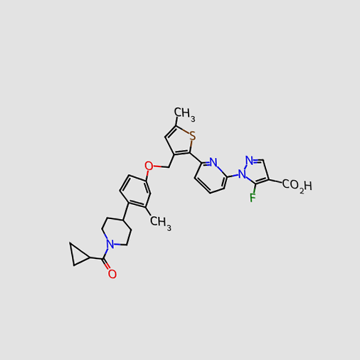 Cc1cc(COc2ccc(C3CCN(C(=O)C4CC4)CC3)c(C)c2)c(-c2cccc(-n3ncc(C(=O)O)c3F)n2)s1